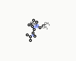 C=C(/C=C\C=C/C)c1cccc(-c2nc(-c3cccc(-c4ccccc4)c3)nc(-n3c4ccc(-c5ccc6c(c5)c5ccccc5n6-c5cc(-c6ccccc6)cc(-c6ccccc6)c5)cc4c4cc5c(cc43)C(C)(C)c3ccccc3-5)n2)c1